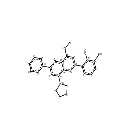 COc1cc(-c2cccc(F)c2F)cc2c(N3CCCC3)nc(-c3cccnc3)nc12